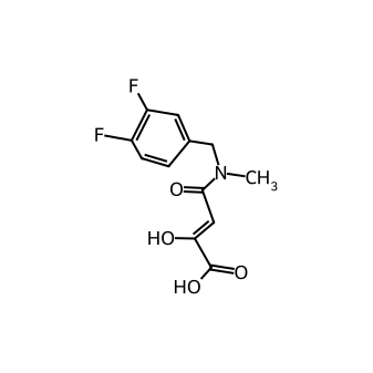 CN(Cc1ccc(F)c(F)c1)C(=O)C=C(O)C(=O)O